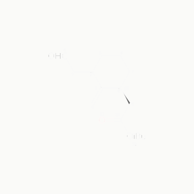 C=C1C(CC=O)CCC[C@H]1CC(=O)OCC(C)C